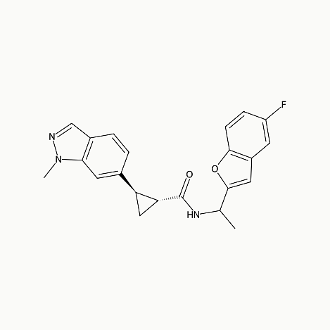 CC(NC(=O)[C@@H]1C[C@H]1c1ccc2cnn(C)c2c1)c1cc2cc(F)ccc2o1